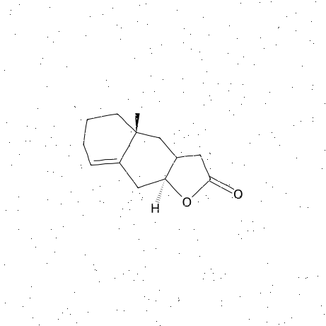 C[C@]12CCCC=C1C[C@@H]1OC(=O)CC1C2